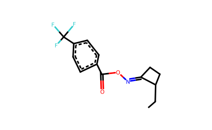 CCC1CC/C1=N\OC(=O)c1ccc(C(F)(F)F)cc1